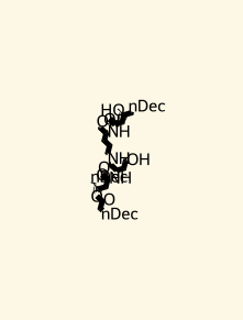 CCCCCCCCCCCC(=O)O[C@H](CCCCCCCCCCC)CC(=O)NC(CCO)C(=O)NCCCC(CO)NC(=O)C[C@H](O)CCCCCCCCCCC